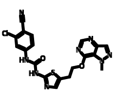 Cn1ncc2ncnc(OCCc3cnc(NC(=O)Nc4ccc(C#N)c(Cl)c4)s3)c21